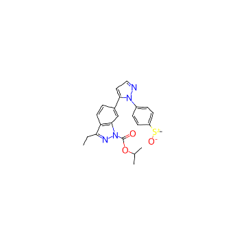 CCc1nn(C(=O)OC(C)C)c2cc(-c3ccnn3-c3ccc([S+](C)[O-])cc3)ccc12